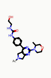 CC(=O)N1Cc2nc(N3CCOCC3C)nc(-c3ccc(NC(=O)NCCO)cc3)c2C1